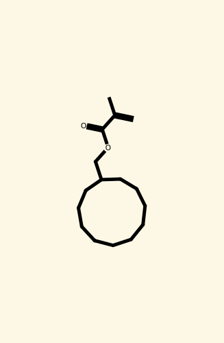 C=C(C)C(=O)OCC1CCCCCCCCCC1